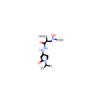 CCCCCC(CN(O)C=O)C(=O)NNc1ccn(C(CC)CC)c(=O)c1